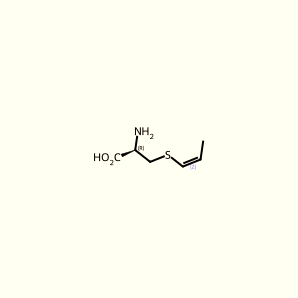 C/C=C\SC[C@H](N)C(=O)O